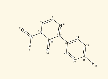 O=C(F)n1ccnc(-c2ccc(F)cc2)c1=O